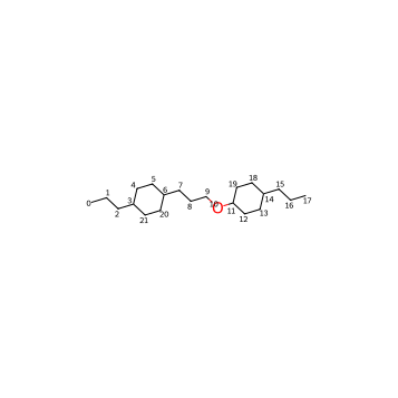 CCCC1CCC(CCCOC2CCC(CCC)CC2)CC1